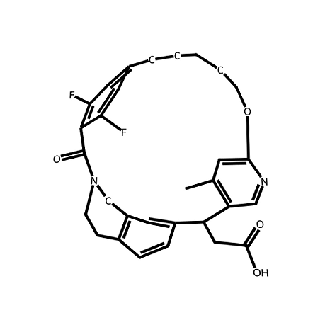 Cc1cc2ncc1C(CC(=O)O)c1ccc3c(c1)CN(CC3)C(=O)c1c(F)cc(cc1F)CCCCCO2